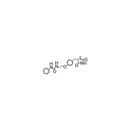 O=C(NCCOc1ccc(CC2SC(=O)NC2=O)cc1)Nc1ccccc1